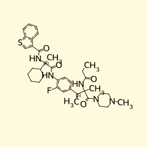 CCC(=O)NC(C)(C(=O)N1CCN(C)CC1)[C@@H](C)c1ccc(NC(=O)[C@](C)(NC(=O)c2csc3ccccc23)C2CCCCC2)c(F)c1